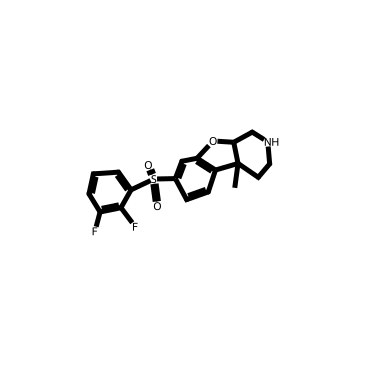 CC12CCNCC1Oc1cc(S(=O)(=O)c3cccc(F)c3F)ccc12